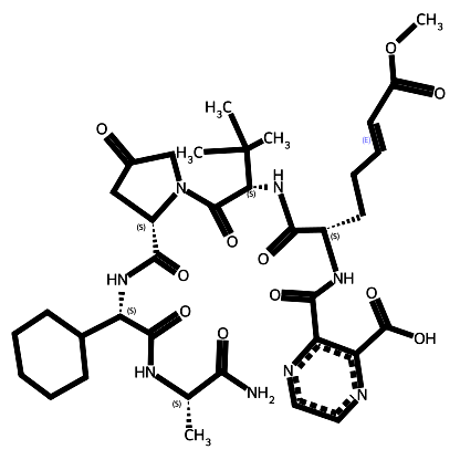 COC(=O)/C=C/CC[C@H](NC(=O)c1nccnc1C(=O)O)C(=O)N[C@H](C(=O)N1CC(=O)C[C@H]1C(=O)N[C@H](C(=O)N[C@@H](C)C(N)=O)C1CCCCC1)C(C)(C)C